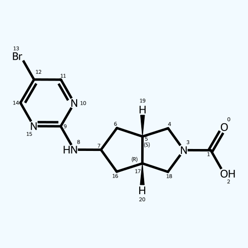 O=C(O)N1C[C@H]2CC(Nc3ncc(Br)cn3)C[C@H]2C1